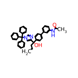 C=CCC(O)(c1ccc(-c2cccc(NC(C)=O)c2)cc1)c1cn(C(c2ccccc2)(c2ccccc2)c2ccccc2)cn1